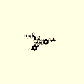 CC(C)COc1ccc(/N=c2\[nH]c(=O)n([C@@H](C)CC(=O)ON)c(=O)n2Cc2ccc(Cl)cc2)cc1